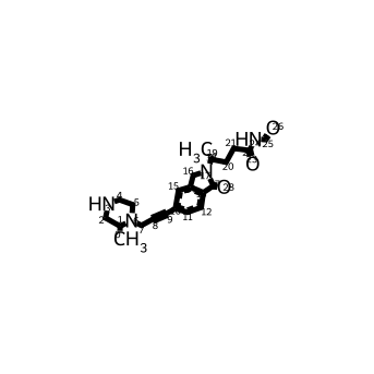 CC1CNCCN1CC#Cc1ccc2c(c1)CN(C(C)CCC(=O)NC=O)C2=O